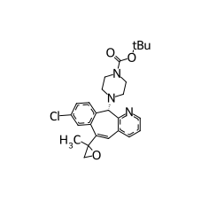 CC(C)(C)OC(=O)N1CCN([C@H]2c3ccc(Cl)cc3C(C3(C)CO3)=Cc3cccnc32)CC1